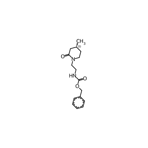 C[C@H]1CCN(CCNC(=O)OCc2ccccc2)C(=O)C1